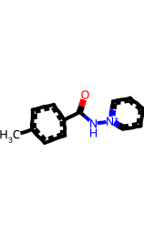 Cc1ccc(C(=O)N[n+]2ccccc2)cc1